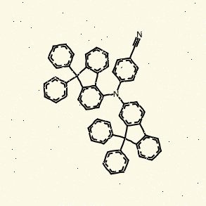 N#Cc1ccc(N(c2ccc3c(c2)C(c2ccccc2)(c2ccccc2)c2ccccc2-3)c2cccc3c2-c2ccccc2C3(c2ccccc2)c2ccccc2)cc1